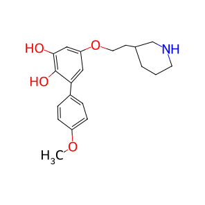 COc1ccc(-c2cc(OCCC3CCCNC3)cc(O)c2O)cc1